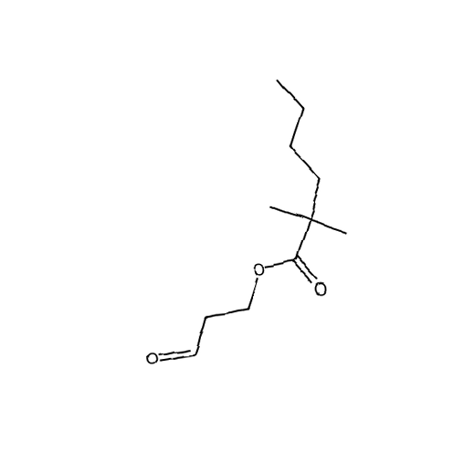 CCCCC(C)(C)C(=O)OCCC=O